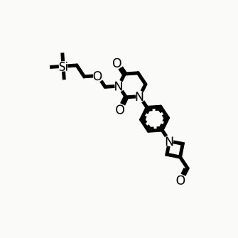 C[Si](C)(C)CCOCN1C(=O)CCN(c2ccc(N3CC(C=O)C3)cc2)C1=O